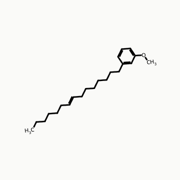 CCCCCC/C=C/CCCCCCCc1cccc(OC)c1